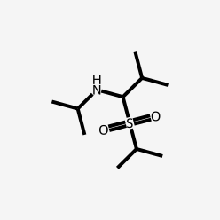 CC(C)NC(C(C)C)S(=O)(=O)C(C)C